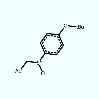 CC(=O)C[S+]([O-])c1ccc(OC(C)(C)C)cc1